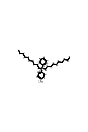 CCCCCCCCCC[P+](CCCCCCCCCC)(c1ccccc1)c1ccccc1.[Cl-]